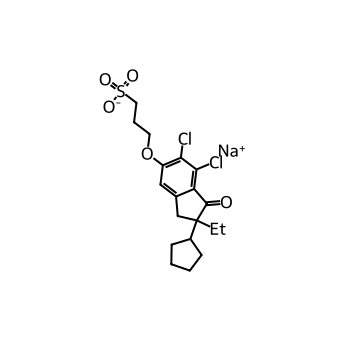 CCC1(C2CCCC2)Cc2cc(OCCCS(=O)(=O)[O-])c(Cl)c(Cl)c2C1=O.[Na+]